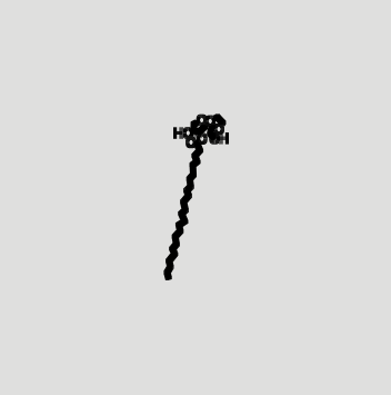 CCCCCCCCCCCCCCCCCCCCCCCC(=O)O[C@@H]1[C@@H](O)CO[C@@H]1C1(CO)OCCO1